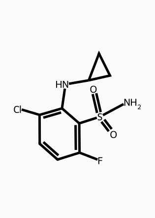 NS(=O)(=O)c1c(F)ccc(Cl)c1NC1CC1